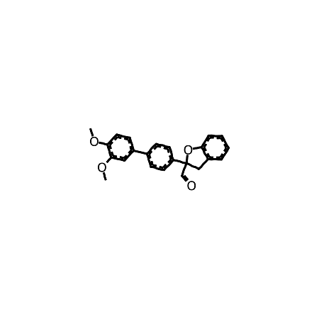 COc1ccc(-c2ccc(C3(C=O)Cc4ccccc4O3)cc2)cc1OC